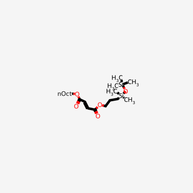 CCCCCCCCOC(=O)C=CC(=O)OCCC[Si](C)(C)O[Si](C)(C)C